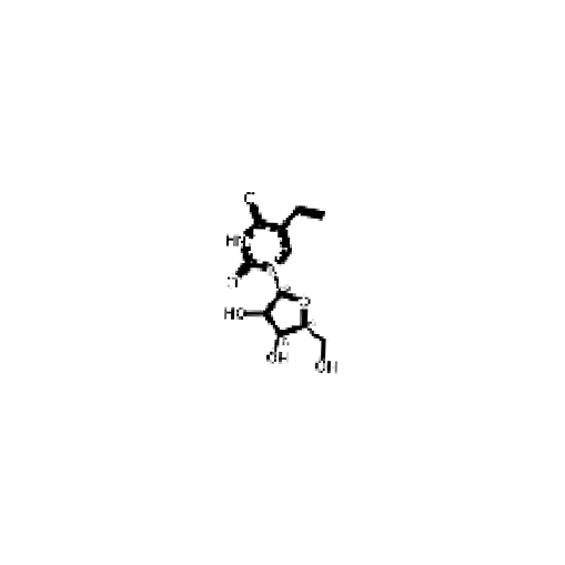 C=Cc1cn([C@H]2O[C@@H](CO)[C@@H](O)C2O)c(=O)[nH]c1=O